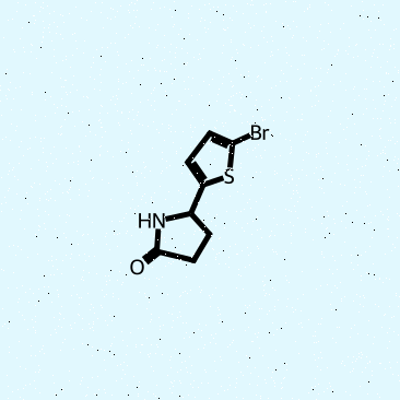 O=C1CCC(c2ccc(Br)s2)N1